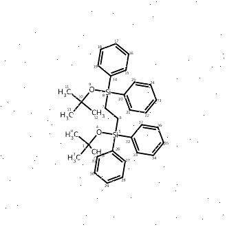 CC(C)(C)O[Si](CC[Si](OC(C)(C)C)(c1ccccc1)c1ccccc1)(c1ccccc1)c1ccccc1